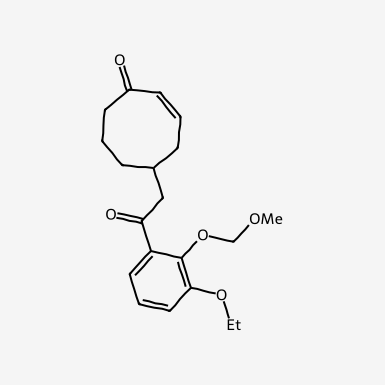 CCOc1cccc(C(=O)CC2CC=CC(=O)CCC2)c1OCOC